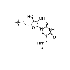 C=P(C)(C)CC[C@H]1O[C@@H](n2cc(CNCCC)c(=O)[nH]c2=S)[C@H](O)[C@@H]1O